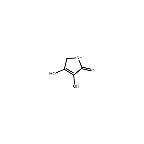 O=C1NCC(O)=C1O